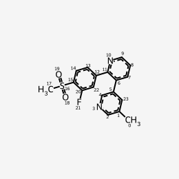 Cc1cncc(-c2cccnc2-c2ccc(S(C)(=O)=O)c(F)c2)c1